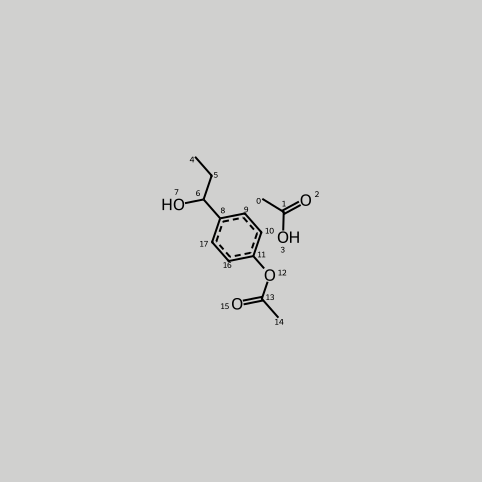 CC(=O)O.CCC(O)c1ccc(OC(C)=O)cc1